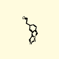 O=CCC1C=Cc2cn3nncc3c2=C1